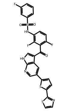 O=C(c1c(F)ccc(NS(=O)(=O)c2cccc(F)c2)c1F)c1c[nH]c2ncc(-c3ccc(-c4nccs4)s3)cc12